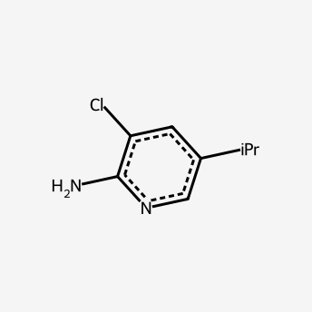 CC(C)c1cnc(N)c(Cl)c1